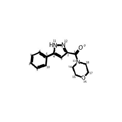 O=C(c1cc(-c2ccccc2)[nH]n1)N1CCOCC1